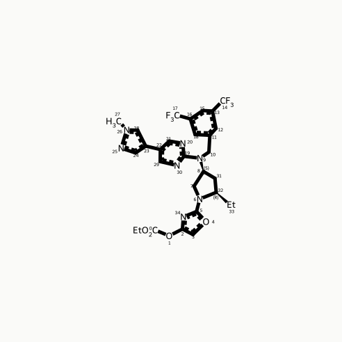 CCOC(=O)Oc1coc(N2C[C@@H](N(Cc3cc(C(F)(F)F)cc(C(F)(F)F)c3)c3ncc(-c4cnn(C)c4)cn3)C[C@H]2CC)n1